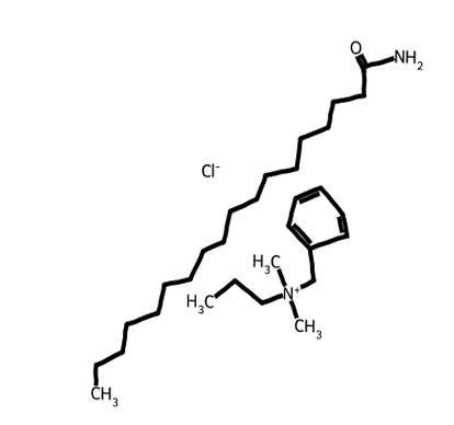 CCCCCCCCCCCCCCCCCC(N)=O.CCC[N+](C)(C)Cc1ccccc1.[Cl-]